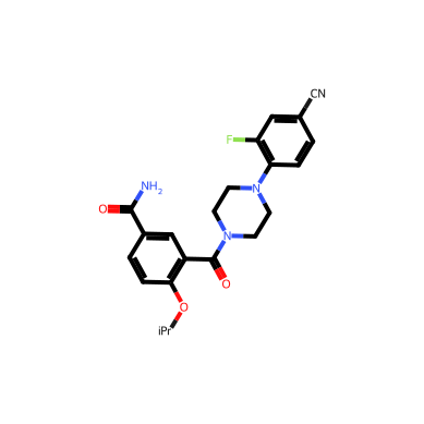 CC(C)Oc1ccc(C(N)=O)cc1C(=O)N1CCN(c2ccc(C#N)cc2F)CC1